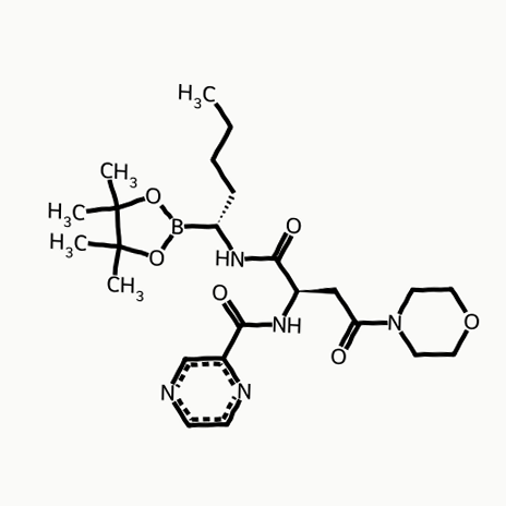 CCCC[C@H](NC(=O)[C@@H](CC(=O)N1CCOCC1)NC(=O)c1cnccn1)B1OC(C)(C)C(C)(C)O1